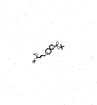 COC(=C=O)/C=C/CN1CCC2(CC1)CCN(C(=O)OC(C)(C)C)C2